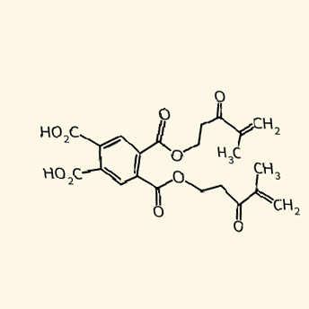 C=C(C)C(=O)CCOC(=O)c1cc(C(=O)O)c(C(=O)O)cc1C(=O)OCCC(=O)C(=C)C